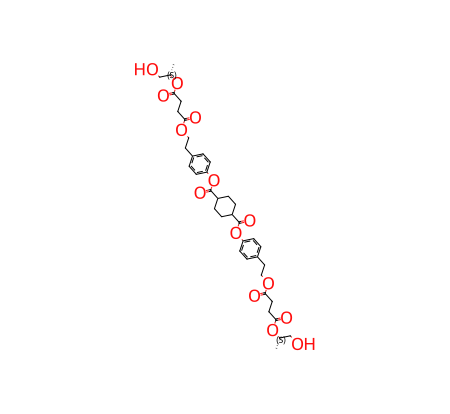 C[C@@H](CO)OC(=O)CCC(=O)OCCc1ccc(OC(=O)C2CCC(C(=O)Oc3ccc(CCOC(=O)CCC(=O)O[C@@H](C)CO)cc3)CC2)cc1